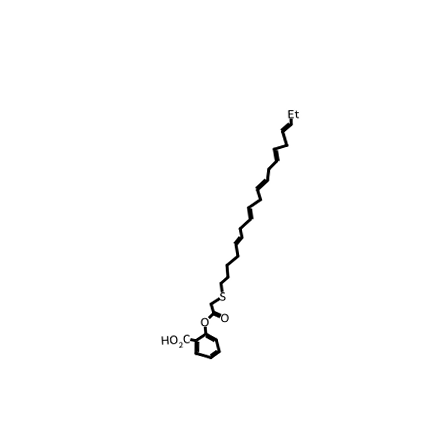 CCC=CCC=CCC=CCC=CCC=CCCCCSCC(=O)Oc1ccccc1C(=O)O